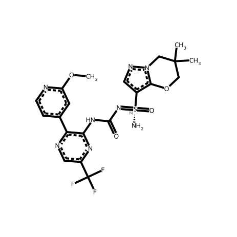 COc1cc(-c2ncc(C(F)(F)F)nc2NC(=O)N=[S@](N)(=O)c2cnn3c2OCC(C)(C)C3)ccn1